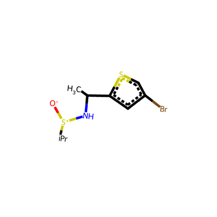 CC(N[S+]([O-])C(C)C)c1cc(Br)cs1